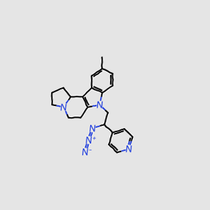 Cc1ccc2c(c1)c1c(n2CC(N=[N+]=[N-])c2ccncc2)CCN2CCCC12